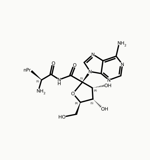 CCC[C@H](N)C(=O)NC(=O)[C@@]1(n2cnc3c(N)ncnc32)O[C@H](CO)[C@@H](O)[C@H]1O